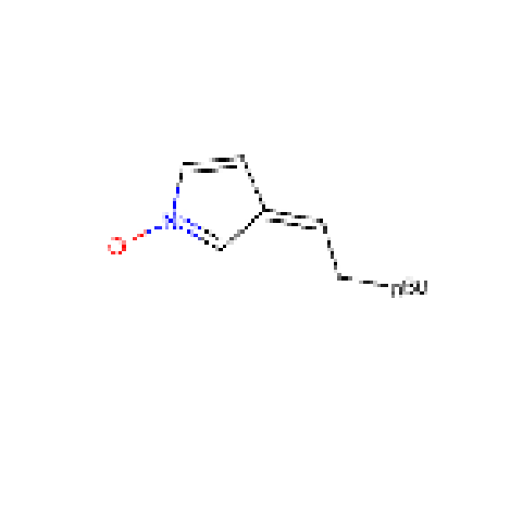 CCCCCC=C1C=C[N+]([O-])=C1